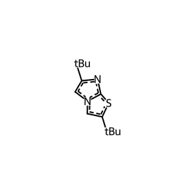 CC(C)(C)c1cn2cc(C(C)(C)C)sc2n1